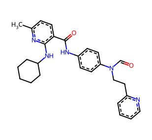 Cc1ccc(C(=O)Nc2ccc(N(C=O)CCc3ccccn3)cc2)c(NC2CCCCC2)n1